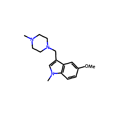 COc1ccc2c(c1)c(CN1CCN(C)CC1)cn2C